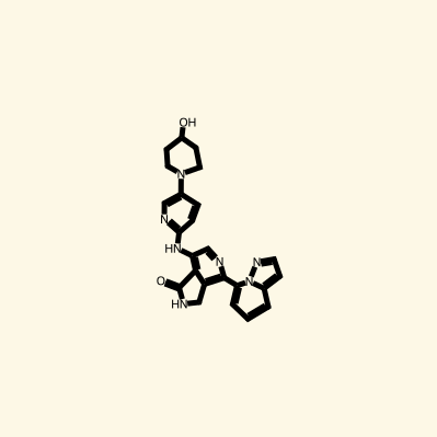 O=C1NCc2c(-c3cccc4ccnn34)ncc(Nc3ccc(N4CCC(O)CC4)cn3)c21